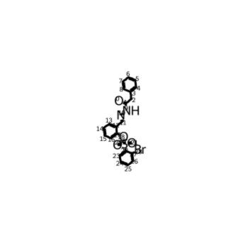 O=C(Cc1ccccc1)NN=Cc1ccccc1OS(=O)(=O)c1ccccc1Br